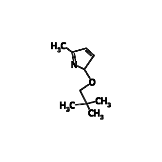 CC1=NC(OCC(C)(C)C)C=C1